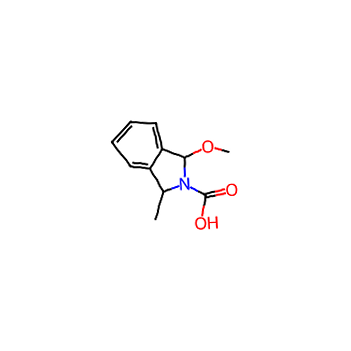 COC1c2ccccc2C(C)N1C(=O)O